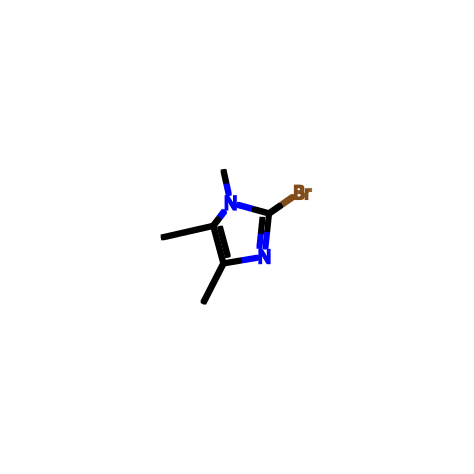 Cc1nc(Br)n(C)c1C